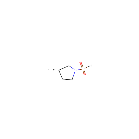 CO[C@@H]1[CH]CN(S(=O)(=O)C(C)C)C1